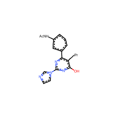 CC(=O)Nc1cccc(-c2nc(-n3ccnc3)nc(O)c2C(C)C)c1